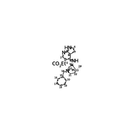 CCOC(=O)c1cnc2[nH]ccc2c1N[C@H]1CN(Cc2ccccc2)CC[C@H]1C